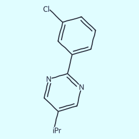 CC(C)c1cnc(-c2cccc(Cl)c2)nc1